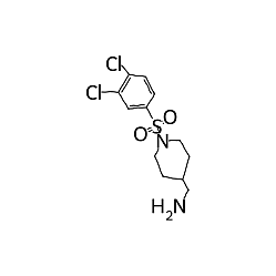 NCC1CCN(S(=O)(=O)c2ccc(Cl)c(Cl)c2)CC1